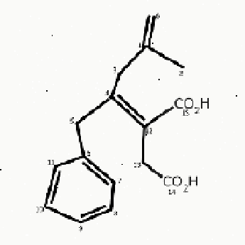 C=C(C)CC(Cc1ccccc1)=C(CC(=O)O)C(=O)O